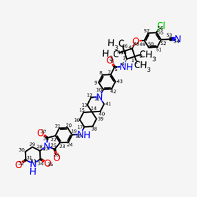 CC1(C)[C@H](NC(=O)c2ccc(N3CCC4(CCC(Nc5ccc6c(c5)C(=O)N(C5CCC(=O)NC5=O)C6=O)CC4)CC3)cc2)C(C)(C)[C@H]1Oc1ccc(C#N)c(Cl)c1